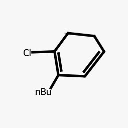 CCCCC1=C(Cl)[CH]CC=C1